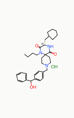 CCCCN1C(=O)[C@H](CC2CCCCC2)NC(=O)C12CCN(Cc1ccc(C(O)c3ccccc3)cc1)CC2.Cl